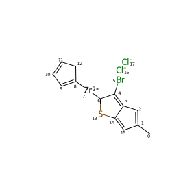 CC1=CC2=C(Br)[CH]([Zr+2][C]3=CC=CC3)SC2=C1.[Cl-].[Cl-]